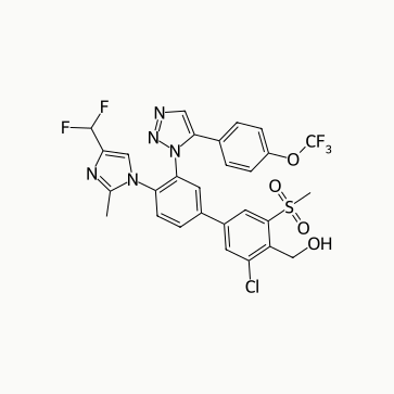 Cc1nc(C(F)F)cn1-c1ccc(-c2cc(Cl)c(CO)c(S(C)(=O)=O)c2)cc1-n1nncc1-c1ccc(OC(F)(F)F)cc1